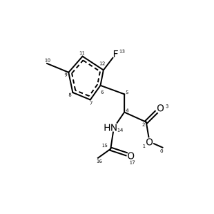 COC(=O)C(Cc1ccc(C)cc1F)NC(C)=O